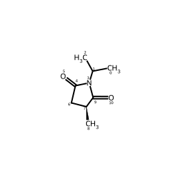 CC(C)N1C(=O)C[C@H](C)C1=O